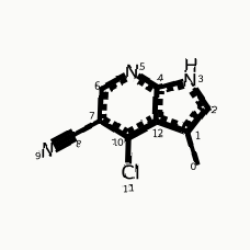 Cc1c[nH]c2ncc(C#N)c(Cl)c12